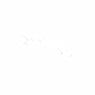 CC(=O)SCC(=O)NCCCCCC(=O)N1CCN(c2ccccn2)CC1